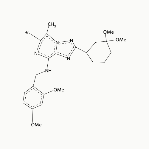 COc1ccc(CNc2nc(Br)c(C)n3nc(C4CCCC(OC)(OC)C4)nc23)c(OC)c1